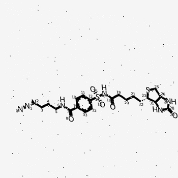 [N-]=[N+]=NCCCNC(=O)c1ccc(S(=O)(=O)NC(=O)CCCC[C@@H]2SCC3NC(=O)NC32)cc1